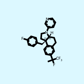 CC(F)(c1ccc2c(c1)CC[C@H]1N(c3cccnc3)CC[C@@]21Cc1ccc(F)cc1)C(F)(F)F